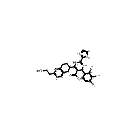 COC(=O)C1=C(C2CCc3nc(CCC(=O)O)ncc3C2)NC(c2nccs2)=NC1c1ccc(F)c(F)c1Cl